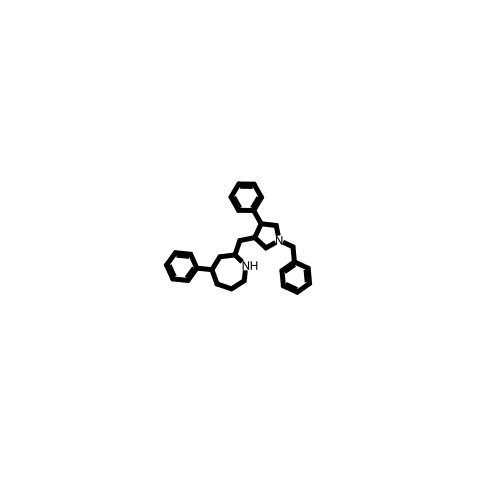 c1ccc(CN2CC(CC3CC(c4ccccc4)CCCN3)C(c3ccccc3)C2)cc1